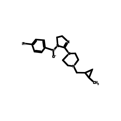 CC(C)c1ccc([S+]([O-])N2CCN=C2N2CCN(CC3CC3C)CC2)cc1